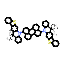 CC1(C)c2ccccc2N(c2ccc3c4cccc5c(N6c7ccccc7C(C)(C)c7cc8c(cc76)sc6ccccc68)ccc(c6cccc2c63)c54)c2cc3sc4ccccc4c3cc21